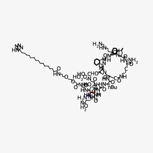 C=C(C[C@@H]1NC(=O)[C@H](CCCNCN)NC(=O)[C@@H](Cc2ccccc2)NC(=O)[C@@H]2C[C@@H](O)CN2C(=O)[C@@H](NC(=O)[C@H](CCCC)NC(=O)[C@H](CNC(=O)CN(CC(=O)O)CC(=O)O)NC(=O)[C@H](C/C(N)=C/N)NC(=O)[C@H](CCC(N)=O)NC(=O)[C@H](CO)NC(=O)CNC(=O)COCCOCCNC(=O)CCCCCCCCCCCCCCCc2nnn[nH]2)CCC(=O)NCCCC[C@@H](C(N)=O)NC1=O)c1ccccc1